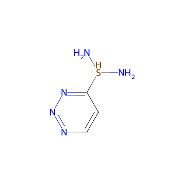 N[SH](N)c1ccnnn1